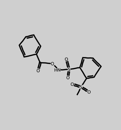 CS(=O)(=O)c1ccccc1S(=O)(=O)NOC(=O)c1ccccc1